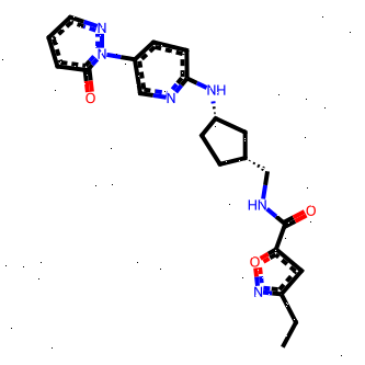 CCc1cc(C(=O)NC[C@@H]2CC[C@H](Nc3ccc(-n4ncccc4=O)cn3)C2)on1